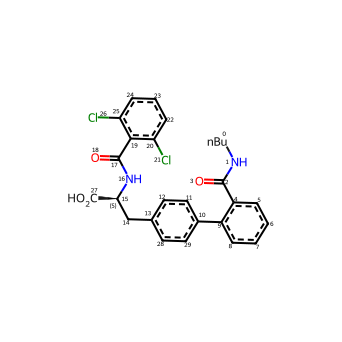 CCCCNC(=O)c1ccccc1-c1ccc(C[C@H](NC(=O)c2c(Cl)cccc2Cl)C(=O)O)cc1